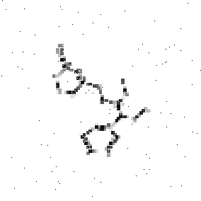 CCC(c1ccccc1)N(CC)CCC1=CC(=O)CCC1